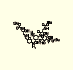 CN(C(=O)OC(C)(C)C)[C@@H]1[C@@H](O)[C@@H](O[C@H]2[C@H](NC(=O)[C@@H](O)CNC(=O)OC(C)(C)C)C[C@H](N)C([C@H]3OC(CNCC(O)CNC(=O)OC(C)(C)C)=CC[C@H]3N)[C@@H]2O)OC[C@]1(C)O